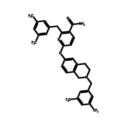 NC(=O)c1ccc(Oc2ccc3c(c2)CCN(Cc2cc(C(F)(F)F)cc(C(F)(F)F)c2)C3)nc1Cc1cc(C(F)(F)F)cc(C(F)(F)F)c1